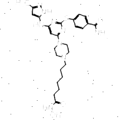 Cc1cc(Nc2cc(N3CCN(CCCCCCC(=O)NO)CC3)nc(Sc3ccc(C(N)=O)cc3)n2)[nH]n1